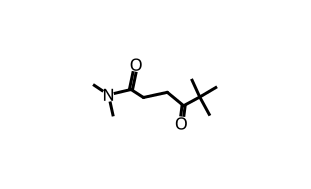 CN(C)C(=O)CCC(=O)C(C)(C)C